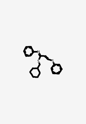 C(=CC(=Nc1ccccc1)SCC1CCCCC1)Sc1ccccc1